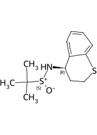 CC(C)(C)[S@@+]([O-])N[C@@H]1CCSc2ccccc21